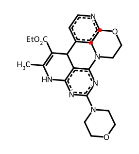 CCOC(=O)C1=C(C)Nc2nc(N3CCOCC3)nc(N3CCOCC3)c2C1c1ccncc1